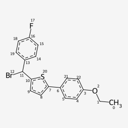 CCOc1ccc(-c2ccc(C(Br)c3ccc(F)cc3)s2)cc1